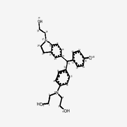 OCCN(CCO)c1ccc(C(c2ccc(Cl)cc2)c2ccc3c(c2)CCN3CCO)cc1